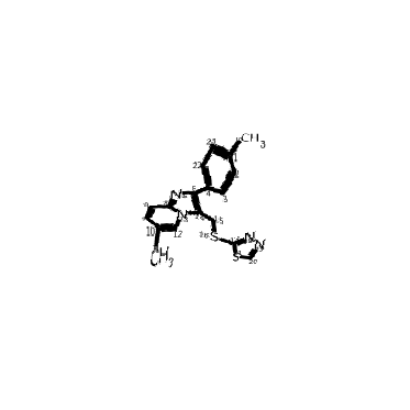 Cc1ccc(-c2nc3ccc(C)cn3c2CSc2nncs2)cc1